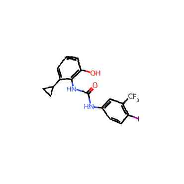 O=C(Nc1ccc(I)c(C(F)(F)F)c1)Nc1c(O)cccc1C1CC1